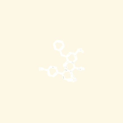 CCCCC(C(=O)N[C@@H](CC(=O)O)c1ccc(C(C)C)cc1)n1cc(C)cc(Cc2ccccc2)c1=O